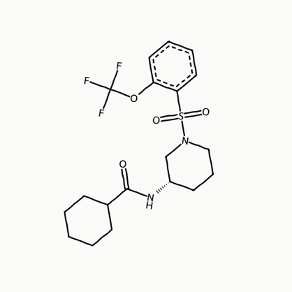 O=C(N[C@H]1CCCN(S(=O)(=O)c2ccccc2OC(F)(F)F)C1)C1CCCCC1